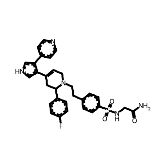 NC(=O)CNS(=O)(=O)c1ccc(CCN2CC=C(c3c[nH]cc3-c3ccncc3)CC2c2ccc(F)cc2)cc1